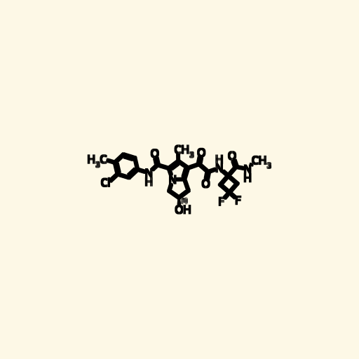 CNC(=O)C1(NC(=O)C(=O)c2c(C)c(C(=O)Nc3ccc(C)c(Cl)c3)n3c2C[C@@H](O)C3)CC(F)(F)C1